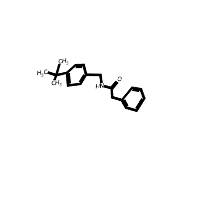 CC(C)(C)c1ccc(CNC(=O)Cc2ccccc2)cc1